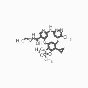 CCONC(=O)c1cnc(Nc2ccc(C)nn2)cc1Nc1cc(F)c(C2CC2)cc1N(C)S(C)(=O)=O